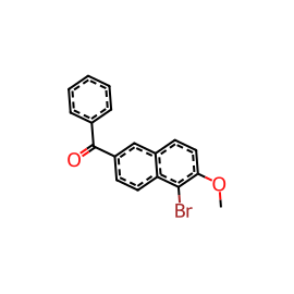 COc1ccc2cc(C(=O)c3ccccc3)ccc2c1Br